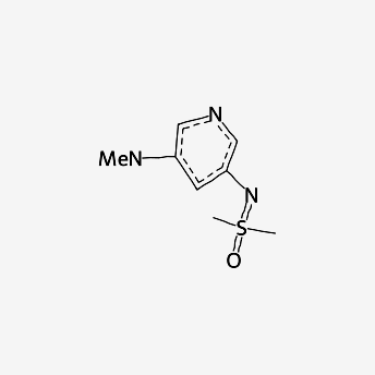 CNc1cncc(N=S(C)(C)=O)c1